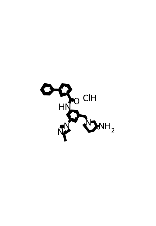 Cc1cn(-c2cc(CN3CCC[C@H](N)C3)cc(NC(=O)c3cccc(-c4ccccc4)c3)c2)cn1.Cl